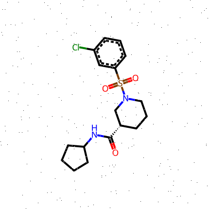 O=C(NC1CCCC1)[C@H]1CCCN(S(=O)(=O)c2cccc(Cl)c2)C1